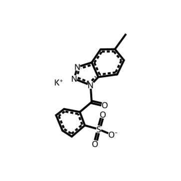 Cc1ccc2c(c1)nnn2C(=O)c1ccccc1S(=O)(=O)[O-].[K+]